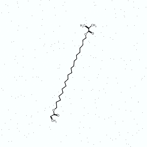 C=CC(=O)OCCCCCCCCCCCCCCCCCCCCCOC(=O)C(=C)C